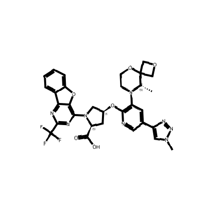 C[C@@H]1N(c2cc(-c3cn(C)nn3)cnc2O[C@H]2C[C@@H](C(=O)O)N(c3nc(C(F)(F)F)nc4c3oc3ccccc34)C2)CCOC12COC2